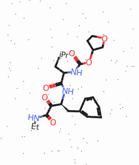 CCNC(=O)C(=O)[C@H](Cc1ccccc1)NC(=O)C(CC(C)C)NC(=O)OC1CCOC1